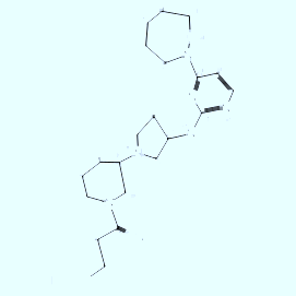 CCOC(=O)CCC(=O)N1CCCC(N2CCC(Nc3nccc(N4CCCCCC4)n3)C2)C1